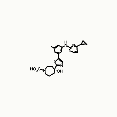 Cc1cc(Nc2nccc(C3CC3)n2)cc(-c2cnc([C@@]3(O)CCCN(C(=O)O)CC3)s2)c1